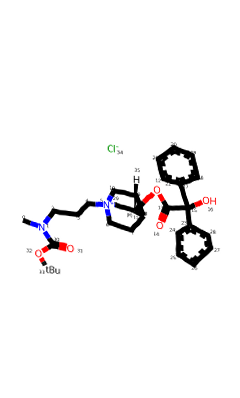 CN(CCC[N+]12CCC(CC1)[C@@H](OC(=O)C(O)(c1ccccc1)c1ccccc1)C2)C(=O)OC(C)(C)C.[Cl-]